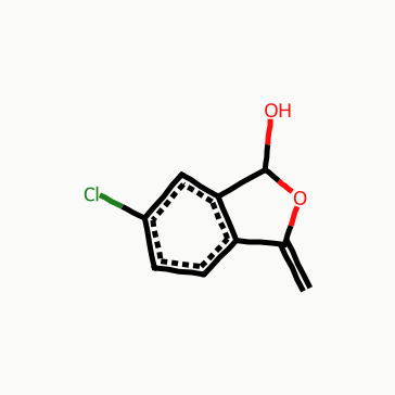 C=C1OC(O)c2cc(Cl)ccc21